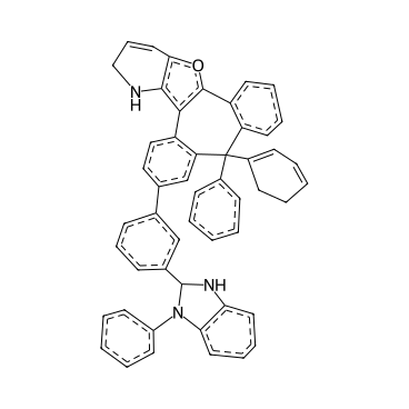 C1=CCCC(C2(c3ccccc3)c3ccccc3-c3oc4c(c3-c3ccc(-c5cccc(C6Nc7ccccc7N6c6ccccc6)c5)cc32)NCC=C4)=C1